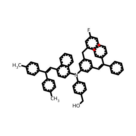 Cc1ccc(C(=Cc2ccc(N(c3ccc(CO)cc3)c3cc(C=C(c4ccccc4)c4ccccc4)cc(Cc4cccc(F)c4)c3)c3ccccc23)c2ccc(C)cc2)cc1